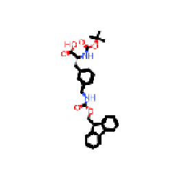 CC(C)(C)OC(=O)N[C@H](Cc1cccc(CNC(=O)OCC2c3ccccc3-c3ccccc32)c1)C(=O)O